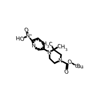 CC(C)(C)OC(=O)N1CCN(c2ccc([N+](=O)O)nc2)C(C)(C)C1